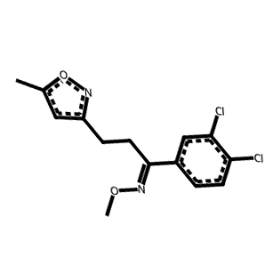 CON=C(CCc1cc(C)on1)c1ccc(Cl)c(Cl)c1